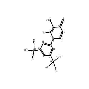 Cc1c(O)c(=O)ccn1-c1cc(C(F)(F)F)cc(C(F)(F)F)c1